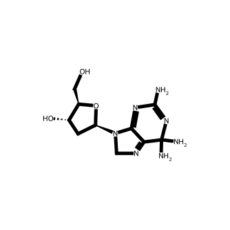 NC1=NC(N)(N)C2=NCN([C@H]3C[C@H](O)[C@@H](CO)O3)C2=N1